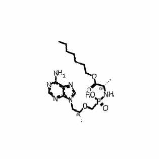 CCCCCCCOC(=O)[C@H](C)NP(=O)(O)CO[C@H](C)Cn1cnc2c(N)ncnc21